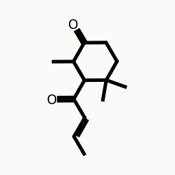 CC=CC(=O)C1C(C)C(=O)CCC1(C)C